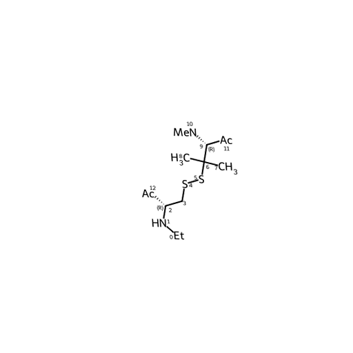 CCN[C@@H](CSSC(C)(C)[C@H](NC)C(C)=O)C(C)=O